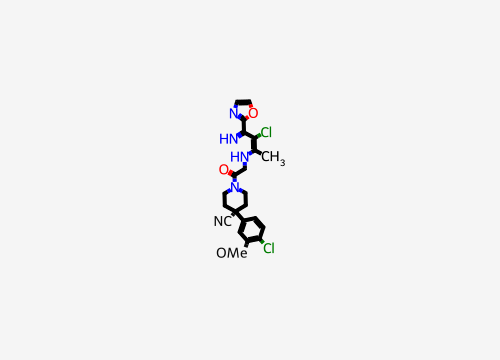 COc1cc(C2(C#N)CCN(C(=O)CN/C(C)=C(/Cl)C(=N)c3ncco3)CC2)ccc1Cl